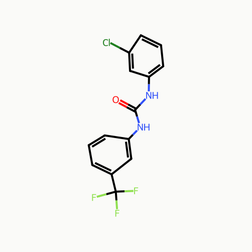 O=C(Nc1cccc(Cl)c1)Nc1cccc(C(F)(F)F)c1